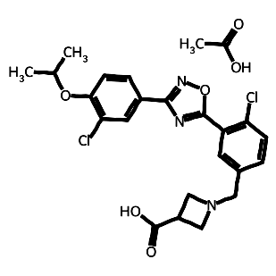 CC(=O)O.CC(C)Oc1ccc(-c2noc(-c3cc(CN4CC(C(=O)O)C4)ccc3Cl)n2)cc1Cl